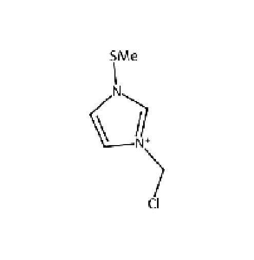 CSn1cc[n+](CCl)c1